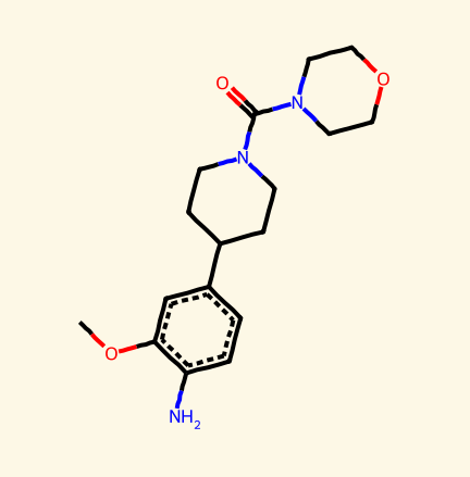 COc1cc(C2CCN(C(=O)N3CCOCC3)CC2)ccc1N